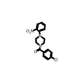 O=C(c1ccc(Cl)cc1)N1CCN(c2ccccc2[N+](=O)[O-])CC1